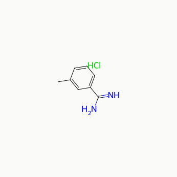 Cc1cccc(C(=N)N)c1.Cl